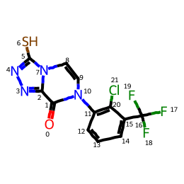 O=c1c2nnc(S)n2ccn1-c1cccc(C(F)(F)F)c1Cl